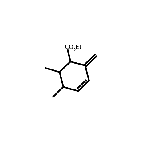 C=C1C=CC(C)C(C)C1C(=O)OCC